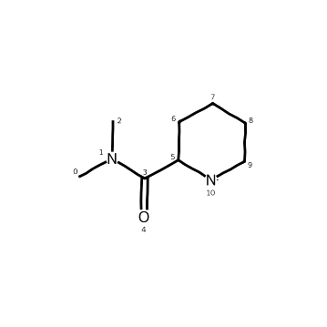 CN(C)C(=O)C1CCCC[N]1